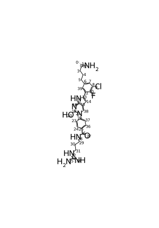 C[C@H](N)CCCc1cc(Cl)c(F)c(-c2cc3c([nH]2)=NC(O)N(c2ccc(C(=O)NCCCNC(=N)N)cc2)C=3)c1